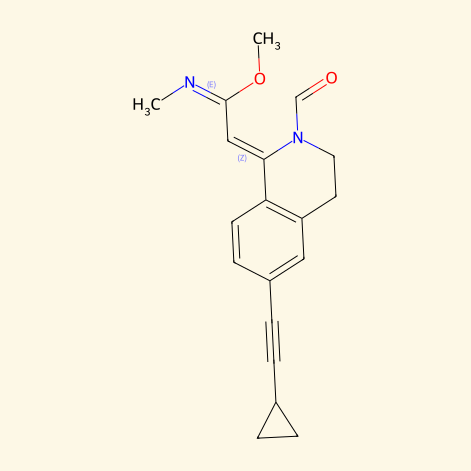 C/N=C(\C=C1\c2ccc(C#CC3CC3)cc2CCN1C=O)OC